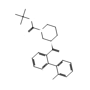 CC(C)(C)OC(=O)N1CCC[C@@H](C(=O)c2ccccc2-c2ccccc2Cl)C1